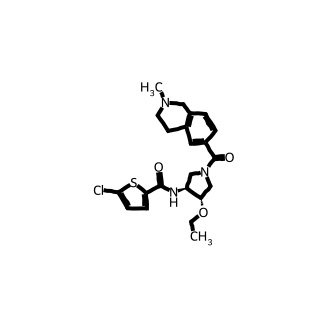 CCO[C@H]1CN(C(=O)c2ccc3c(c2)CCN(C)C3)C[C@@H]1NC(=O)c1ccc(Cl)s1